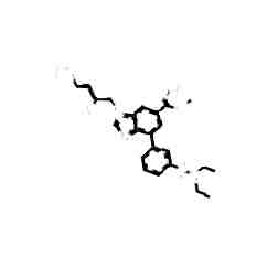 CCN(CC)S(=O)(=O)c1cccc(-c2cc(C(=O)OC)cc3c2ncn3C/C(F)=C/CN)c1.Cl